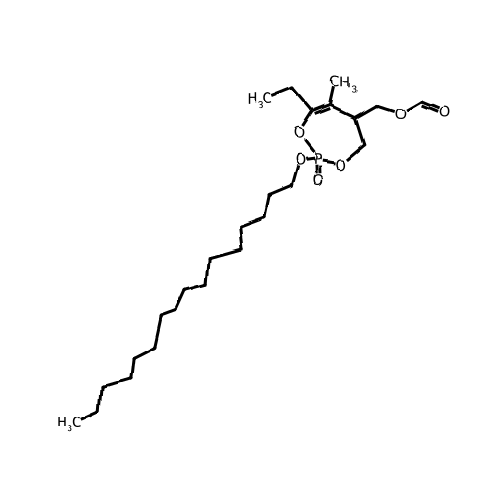 CCCCCCCCCCCCCCCCOP1(=O)OCC(COC=O)C(C)=C(CC)O1